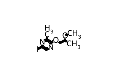 COC(C)COc1ncc(I)nc1C